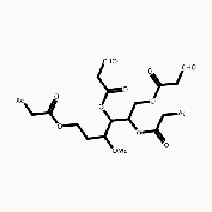 COC(CCOC(=O)CC(C)=O)C(OC(=O)CC=O)C(COC(=O)CC=O)OC(=O)CC(C)=O